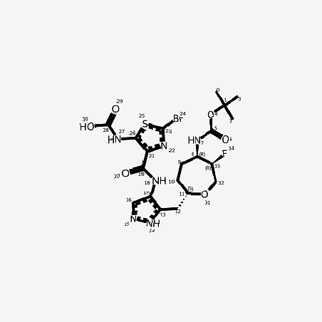 CC(C)(C)OC(=O)N[C@@H]1CC[C@@H](Cc2[nH]ncc2NC(=O)c2nc(Br)sc2NC(=O)O)OC[C@@H]1F